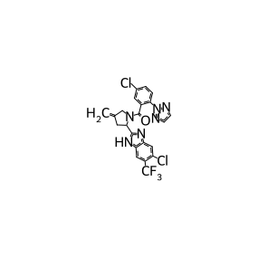 C=C1CC(c2nc3cc(Cl)c(C(F)(F)F)cc3[nH]2)N(C(=O)c2cc(Cl)ccc2-n2nccn2)C1